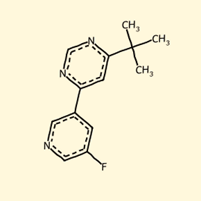 CC(C)(C)c1cc(-c2cncc(F)c2)ncn1